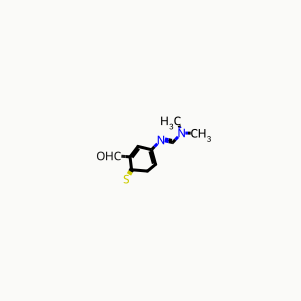 CN(C)C=NC1=CCC(=S)C(C=O)=C1